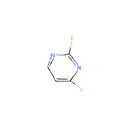 FC1=CC=[N+]C(F)=N1